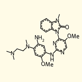 COc1cc(N(C)CCN(C)C)c(N)cc1Nc1ncc(OC)c(-n2c(=O)n(C)c3ccccc32)n1